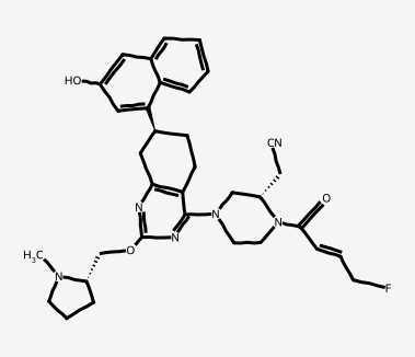 CN1CCC[C@H]1COc1nc2c(c(N3CCN(C(=O)/C=C/CF)[C@@H](CC#N)C3)n1)CC[C@H](c1cc(O)cc3ccccc13)C2